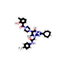 CCc1c(N2CCN(C(=O)c3cccc(C)c3O)CC2)c(=O)n2nc(C3CCCCCC3)nc2n1CC(=O)Nc1ccc(C(F)(F)F)cc1